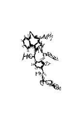 CCCCn1nc2c(N)nc3ccccc3c2c1C(O)c1ccc(CNC(=O)OC(C)(C)C)cc1